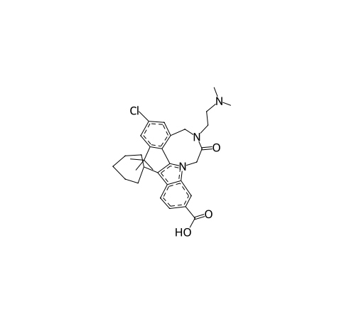 CN(C)CCN1Cc2cc(Cl)cc(C(C)(C)C)c2-c2c(C3CCCCC3)c3ccc(C(=O)O)cc3n2CC1=O